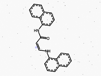 O=C(/C=C\Nc1cccc2ccccc12)Nc1cccc2ccccc12